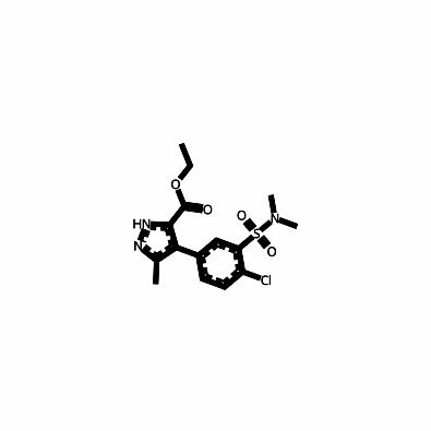 CCOC(=O)c1[nH]nc(C)c1-c1ccc(Cl)c(S(=O)(=O)N(C)C)c1